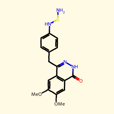 COc1cc2c(Cc3ccc(NSN)cc3)n[nH]c(=O)c2cc1OC